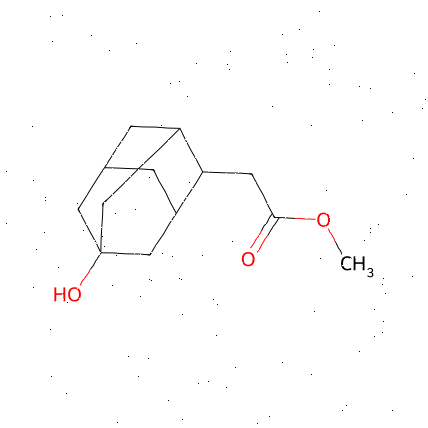 COC(=O)CC1C2CC3CC1CC(O)(C3)C2